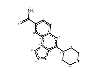 NC(=O)c1ccc2nc(N3CCNCC3)c3nnnn3c2c1